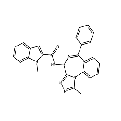 Cc1nnc2n1-c1ccccc1C(c1ccccc1)=NC2NC(=O)c1cc2ccccc2n1C